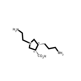 BCCC[C@H]1CN(CCN)C[C@H]1C(=O)O